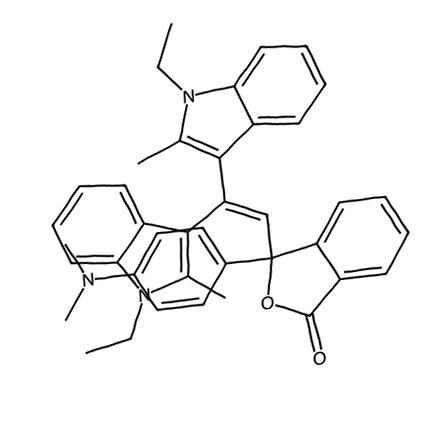 CCn1c(C)c(C(=CC2(c3ccc(N(C)C)cc3)OC(=O)c3ccccc32)c2c(C)n(CC)c3ccccc23)c2ccccc21